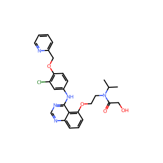 CC(C)N(CCOc1cccc2ncnc(Nc3ccc(OCc4ccccn4)c(Cl)c3)c12)C(=O)CO